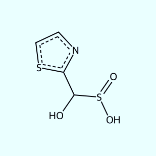 O=S(O)C(O)c1nccs1